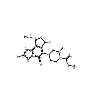 CC1C[C@@H](C(=O)O)n2c1c(N1CCN(C(=O)OC(C)(C)C)[C@H](C)C1)c(=O)n1nc(Br)nc21